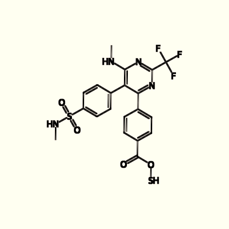 CNc1nc(C(F)(F)F)nc(-c2ccc(C(=O)OS)cc2)c1-c1ccc(S(=O)(=O)NC)cc1